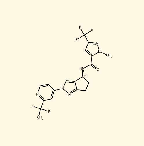 Cn1nc(C(F)(F)F)cc1C(=O)N[C@H]1CCc2nn(-c3ccnc(C(C)(F)F)c3)cc21